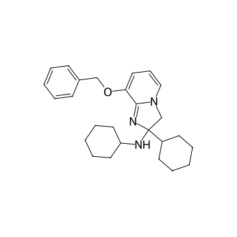 C1=CN2CC(NC3CCCCC3)(C3CCCCC3)N=C2C(OCc2ccccc2)=C1